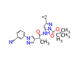 CC(C(=O)Nc1cc(C2CC2)nn1C(=O)OC(C)(C)C)c1cnn(-c2cccc(C#N)c2)c1